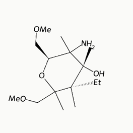 CC[C@]1(C)C(C)(COC)O[C@@H](COC)C(C)(N)[C@]1(C)O